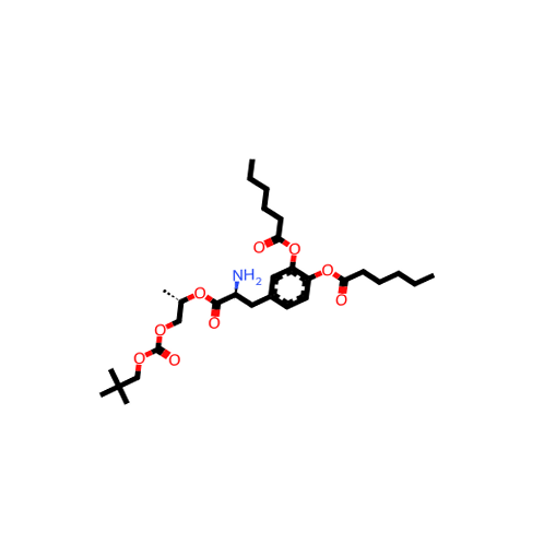 CCCCCC(=O)Oc1ccc(C[C@H](N)C(=O)O[C@@H](C)COC(=O)OCC(C)(C)C)cc1OC(=O)CCCCC